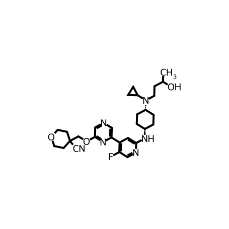 CC(O)CCN(C1CC1)[C@H]1CC[C@H](Nc2cc(-c3cncc(OCC4(C#N)CCOCC4)n3)c(F)cn2)CC1